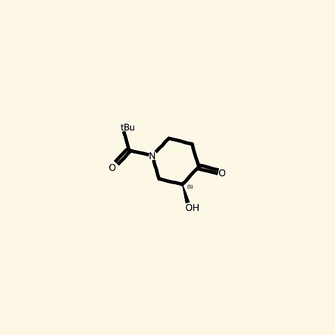 CC(C)(C)C(=O)N1CCC(=O)[C@@H](O)C1